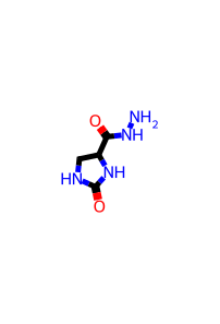 NNC(=O)C1CNC(=O)N1